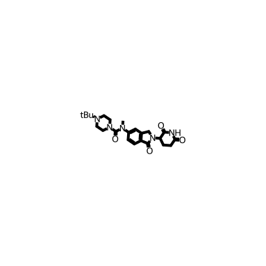 CN(C(=O)N1CCN(C(C)(C)C)CC1)c1ccc2c(c1)CN(C1CCC(=O)NC1=O)C2=O